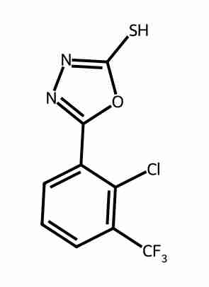 FC(F)(F)c1cccc(-c2nnc(S)o2)c1Cl